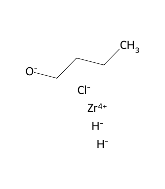 CCCC[O-].[Cl-].[H-].[H-].[Zr+4]